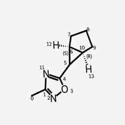 Cc1noc(C2[C@H]3CCC[C@@H]23)n1